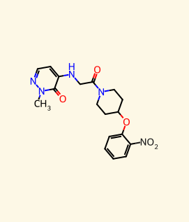 Cn1nccc(NCC(=O)N2CCC(Oc3ccccc3[N+](=O)[O-])CC2)c1=O